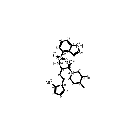 CC1CCN(C(=O)C(CCn2cccc2C#N)NS(=O)(=O)c2cccc3[nH]ccc23)CC1C